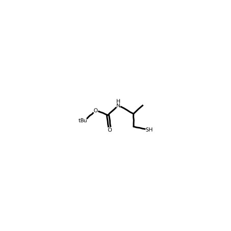 CC(CS)NC(=O)OC(C)(C)C